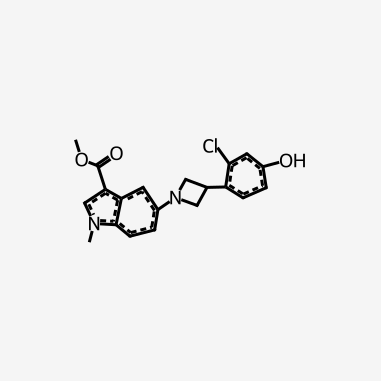 COC(=O)c1cn(C)c2ccc(N3CC(c4ccc(O)cc4Cl)C3)cc12